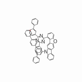 c1ccc(-c2ccc(-c3cccc(-n4c5ccccc5c5cc6oc7cccc(-c8nc(-c9ccc(-c%10ccccc%10)cc9)nc(-c9cccc(-c%10ccccc%10)c9)n8)c7c6cc54)c3)cc2)cc1